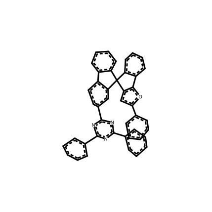 c1ccc(-c2nc(-c3ccccc3)nc(-c3ccc4c(c3)C3(c5ccccc5-4)c4ccccc4-c4oc(-c5ccccc5)cc43)n2)cc1